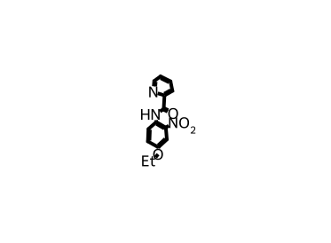 CCOc1ccc(NC(=O)c2ccccn2)c([N+](=O)[O-])c1